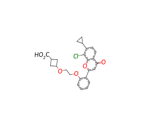 O=C(O)C1CC(OCCOc2ccccc2-c2cc(=O)c3ccc(C4CC4)c(Cl)c3o2)C1